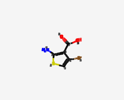 Nc1scc(Br)c1C(=O)O